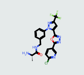 C[C@H](N)C(=O)NCc1cccc(-n2nc(C(F)(F)F)cc2-c2nnc(-c3ccc(Cl)nc3)o2)c1